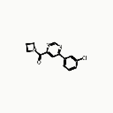 O=C(c1cc(-c2cccc(Cl)c2)ncn1)N1CCC1